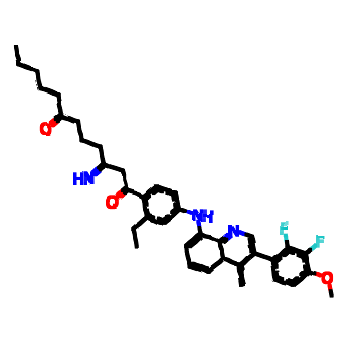 C=C1C(c2ccc(OC)c(F)c2F)=CN=C2C(Nc3ccc(C(=O)CC(=N)CCCC(=O)CCCCC)c(CC)c3)=CC=CC12